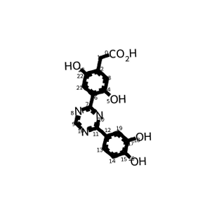 O=C(O)Cc1cc(O)c(-c2ncnc(-c3ccc(O)c(O)c3)n2)cc1O